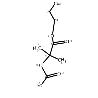 CCC(=O)OC(C)(C)C(=O)OCCCl